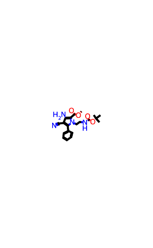 COC(=O)c1c(N)c(C#N)c(-c2ccccc2)n1CCNC(=O)OC(C)(C)C